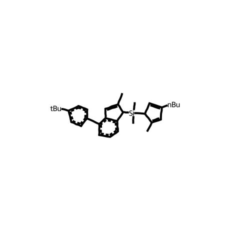 CCCCC1=CC([Si](C)(C)C2C(C)=Cc3c(-c4ccc(C(C)(C)C)cc4)cccc32)C(C)=C1